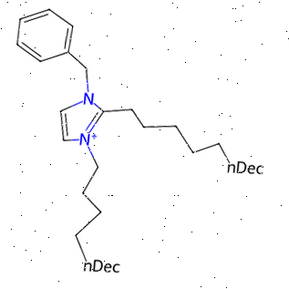 CCCCCCCCCCCCCCCc1n(Cc2ccccc2)cc[n+]1CCCCCCCCCCCCCC